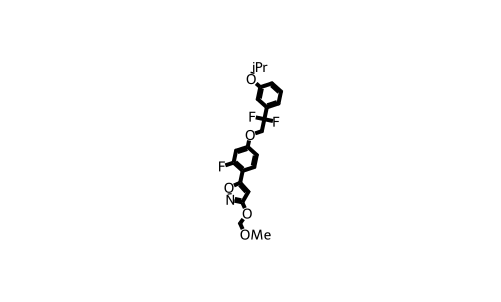 COCOc1cc(-c2ccc(OCC(F)(F)c3cccc(OC(C)C)c3)cc2F)on1